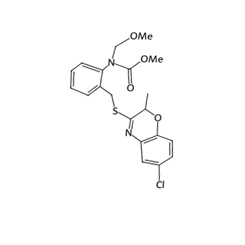 COCN(C(=O)OC)c1ccccc1CSC1=Nc2cc(Cl)ccc2OC1C